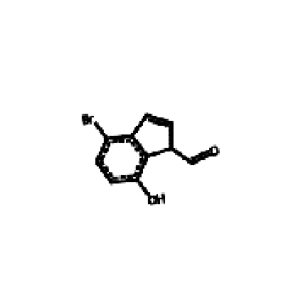 O=CC1C=Cc2c(Br)ccc(O)c21